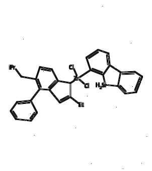 CCC1=Cc2c(ccc(CC(C)C)c2-c2ccccc2)[CH]1[Zr]([Cl])([Cl])[c]1cccc2c1[SiH2]c1ccccc1-2